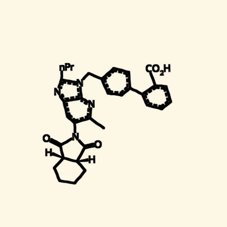 CCCc1nc2cc(N3C(=O)[C@H]4CCCC[C@H]4C3=O)c(C)nc2n1Cc1ccc(-c2ccccc2C(=O)O)cc1